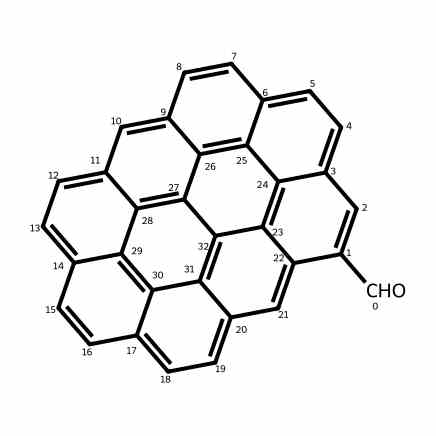 O=Cc1cc2ccc3ccc4cc5ccc6ccc7ccc8cc1c1c2c3c4c2c5c6c7c8c12